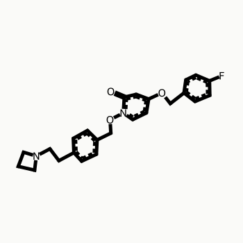 O=c1cc(OCc2ccc(F)cc2)ccn1OCc1ccc(CCN2CCC2)cc1